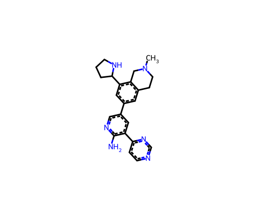 CN1CCc2cc(-c3cnc(N)c(-c4ccncn4)c3)cc(C3CCCN3)c2C1